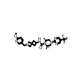 COc1ccc(CN2CC3(CC(NC(=O)N4[C@H](C)CN(c5ncc(C(F)(F)F)cn5)C[C@@H]4C)C3)C2)cn1